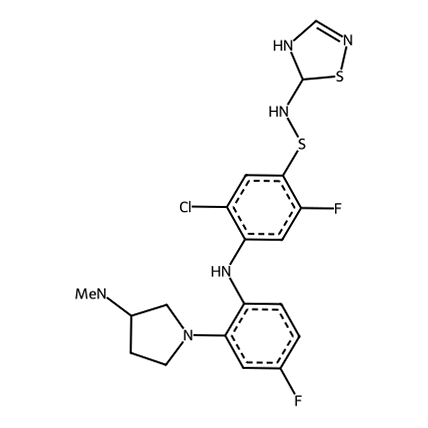 CNC1CCN(c2cc(F)ccc2Nc2cc(F)c(SNC3NC=NS3)cc2Cl)C1